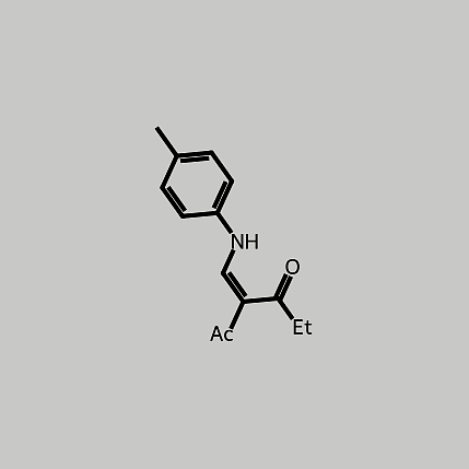 CCC(=O)/C(=C\Nc1ccc(C)cc1)C(C)=O